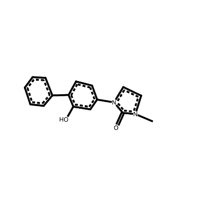 Cn1ccn(-c2ccc(-c3ccccc3)c(O)c2)c1=O